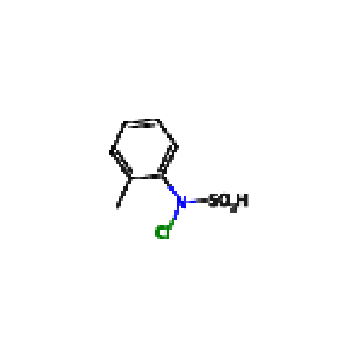 Cc1ccccc1N(Cl)S(=O)(=O)O